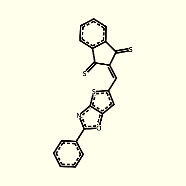 S=C1C(=Cc2cc3oc(-c4ccccc4)nc3s2)C(=S)c2ccccc21